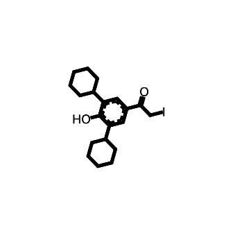 O=C(CI)c1cc(C2CCCCC2)c(O)c(C2CCCCC2)c1